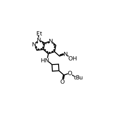 CCn1ncc2c(NC3CC(C(=O)OC(C)(C)C)C3)c(C=NO)cnc21